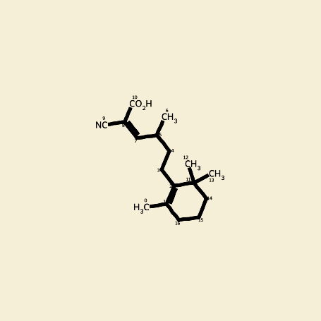 CC1=C(CCC(C)C=C(C#N)C(=O)O)C(C)(C)CCC1